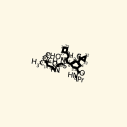 CC(C)NC(=O)c1cc(-c2sc(-c3nnc(CC(C)(C)OC=O)o3)nc2CC2CCC2)cc(C2(C)CC2)c1